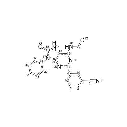 N#Cc1cccc(-c2nc(NC=O)c3[nH]c(=O)n(-c4ccccc4)c3n2)c1